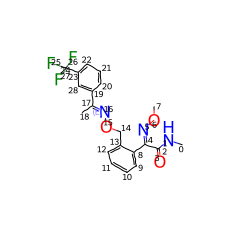 CNC(=O)C(=NOC)c1ccccc1CO/N=C(\C)c1cccc(C(F)(F)F)c1